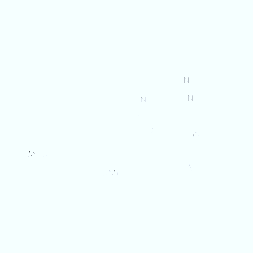 COc1ccc(/C=C/C(=O)Nc2cnn(Cc3ccc(C(C)=O)o3)c2)c(OC)c1